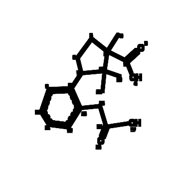 CC1(C(=O)O)CCC(c2ccccc2CC(=O)O)C1(C)C